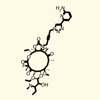 CCO[C@@H](O[C@@H]1[C@@H](C)C(=O)[C@](C)(F)C(=O)O[C@H](CC)[C@@]2(C)OC(=O)N(CC#CCn3cc(-c4cccc(N)n4)nn3)[C@@H]2[C@@H](C)C(=O)[C@H](C)C[C@@]1(C)OC)C(O)C(CC)N(C)C